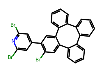 Brc1cc(-c2cc3c(cc2Br)-c2ccccc2-c2ccccc2-c2ccccc2-3)cc(Br)n1